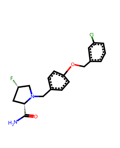 NC(=O)[C@@H]1C[C@H](F)CN1Cc1ccc(OCc2cccc(Cl)c2)cc1